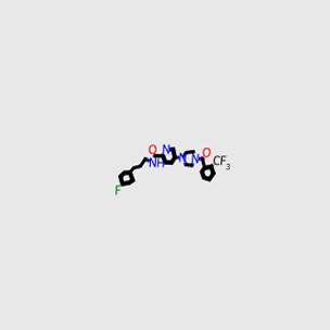 O=C(NCCCc1ccc(F)cc1)c1ccc(N2CCN(C(=O)c3ccccc3C(F)(F)F)CC2)cn1